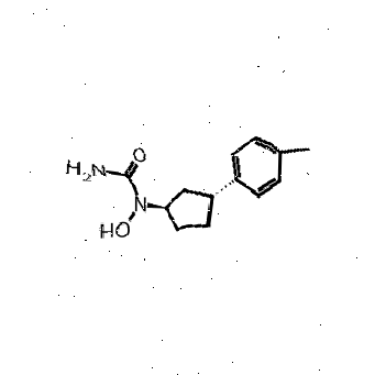 Cc1ccc([C@@H]2CC[C@@H](N(O)C(N)=O)C2)cc1